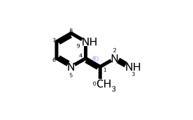 C/C(N=N)=C1\N=CC=CN1